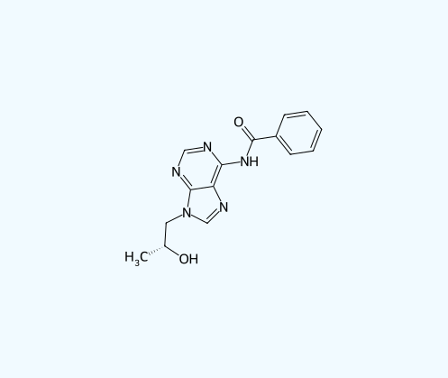 C[C@@H](O)Cn1cnc2c(NC(=O)c3ccccc3)ncnc21